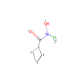 O=C(C1CCC1)N(O)Cl